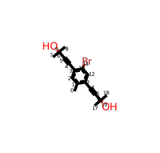 Cc1cc(C#CC(C)(C)O)c(Br)cc1C#CC(C)(C)O